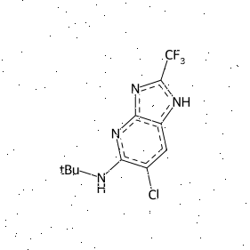 CC(C)(C)Nc1nc2nc(C(F)(F)F)[nH]c2cc1Cl